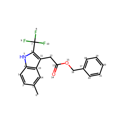 Cc1ccc2[nH]c(C(F)(F)F)c(CC(=O)OCc3ccccc3)c2c1